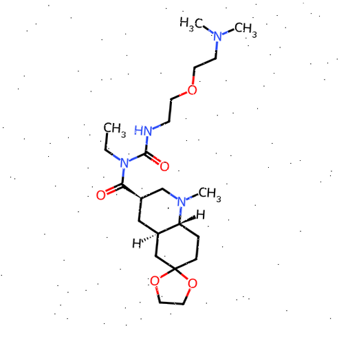 CCN(C(=O)NCCOCCN(C)C)C(=O)[C@@H]1C[C@@H]2CC3(CC[C@H]2N(C)C1)OCCO3